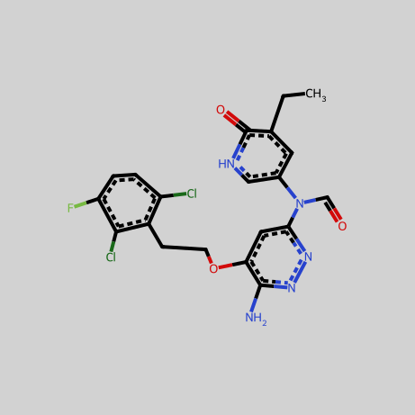 CCc1cc(N(C=O)c2cc(OCCc3c(Cl)ccc(F)c3Cl)c(N)nn2)c[nH]c1=O